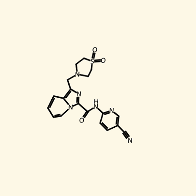 N#Cc1ccc(NC(=O)c2nc(CN3CCS(=O)(=O)CC3)c3ccccn23)nc1